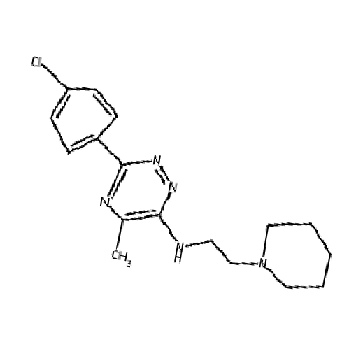 Cc1nc(-c2ccc(Cl)cc2)nnc1NCCN1CCCCC1